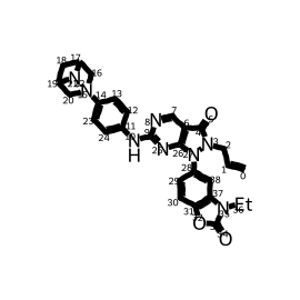 C=CCn1c(=O)c2cnc(Nc3ccc(N4CC5CC(C4)N5C)cc3)nc2n1-c1ccc2oc(=O)n(CC)c2c1